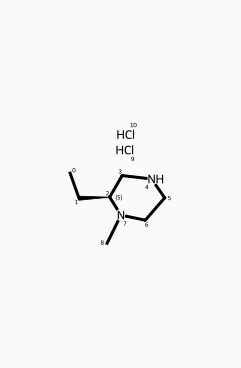 CC[C@H]1CNCCN1C.Cl.Cl